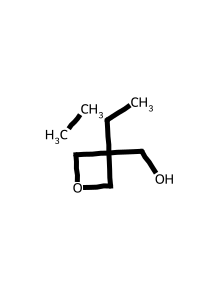 CC.CCC1(CO)COC1